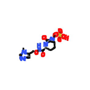 Cn1cncc1CONC(=O)[C@@H]1CCC2CN1C(=O)N2OS(=O)(=O)O